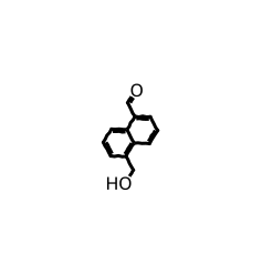 O=Cc1cccc2c(CO)cccc12